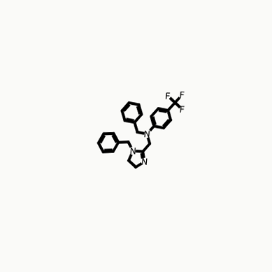 FC(F)(F)c1ccc(N(CC2=NCCN2Cc2ccccc2)Cc2ccccc2)cc1